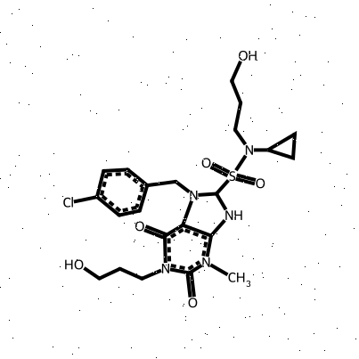 Cn1c2c(c(=O)n(CCCO)c1=O)N(Cc1ccc(Cl)cc1)C(S(=O)(=O)N(CCCO)C1CC1)N2